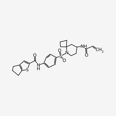 C=CC(=O)NC1CCN(S(=O)(=O)c2ccc(NC(=O)c3cc4c(s3)CCC4)cc2)C2(CCC2)C1